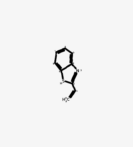 C=Cc1nc2ccccc2s1